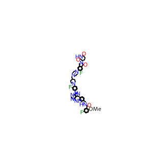 COc1ccc(F)cc1C(=O)NCc1ccc(-c2nn(-c3ccc(N4CCC(CN5CCN(c6cc7c(cc6F)C(=O)N([C@H]6CCC(=O)NC6=O)C7)CC5)CC4)c(F)c3)c3ncnc(N)c23)cc1